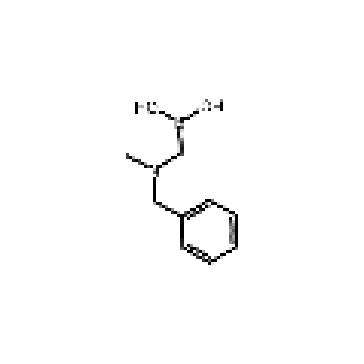 CN(CB(O)O)Cc1ccccc1